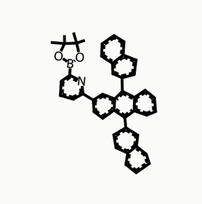 CC1(C)OB(c2cccc(-c3ccc4c(-c5ccc6ccccc6c5)c5ccccc5c(-c5ccc6ccccc6c5)c4c3)n2)OC1(C)C